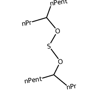 CCCCCC(CCC)OSOC(CCC)CCCCC